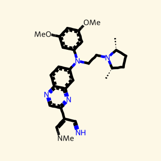 CN/C=C(\C=N)c1cnc2ccc(N(CCN3[C@H](C)CC[C@@H]3C)c3cc(OC)cc(OC)c3)cc2n1